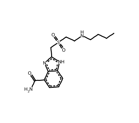 CCCCNCCS(=O)(=O)Cc1nc2c(C(N)=O)cccc2[nH]1